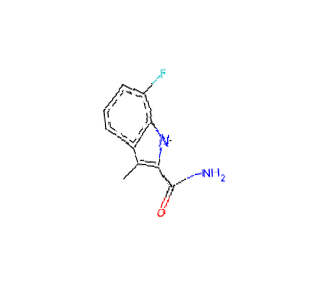 CC1=C(C(N)=O)[N]c2c(F)cccc21